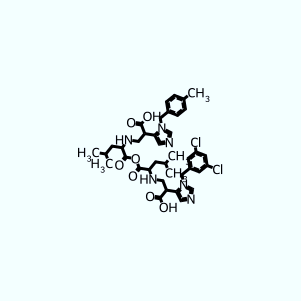 Cc1ccc(Cn2cncc2C(CNC(CC(C)C)C(=O)OC(=O)C(CC(C)C)NCC(C(=O)O)c2cncn2Cc2cc(Cl)cc(Cl)c2)C(=O)O)cc1